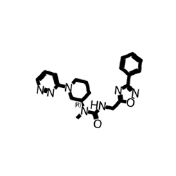 CN(C(=O)NCc1nc(-c2ccccc2)no1)[C@@H]1CCCN(c2cccnn2)C1